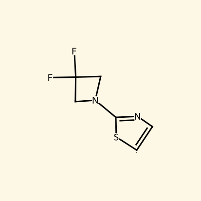 FC1(F)CN(c2nc[c]s2)C1